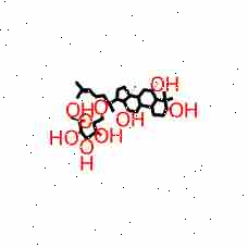 CC(C)=CCCC(C)(OCC1O[C@H](CO)C(O)C(O)C1O)C1CC[C@@]2(C)C3C[C@H](O)C4C(CCC(O)C4(C)C)C3CC(O)C12